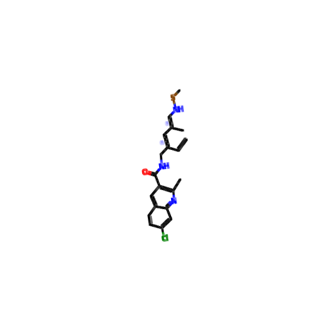 C=C/C(=C\C(C)=C\NSC)CNC(=O)c1cc2ccc(Cl)cc2nc1C